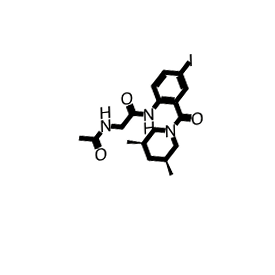 CC(=O)NCC(=O)Nc1ccc(I)cc1C(=O)N1C[C@H](C)C[C@H](C)C1